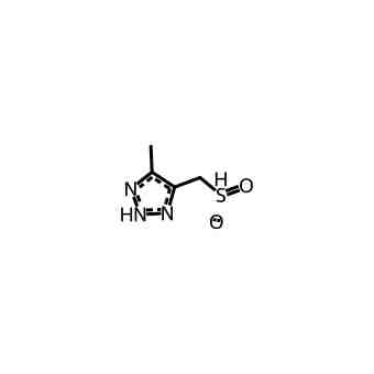 Cc1n[nH]nc1C[SH](=O)=O